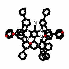 N#Cc1c(-n2c3ccc(-c4ccccc4)cc3c3cc(-c4ccccc4)ccc32)c(-n2c3ccc(-c4ccccc4)cc3c3cc(-c4ccccc4)ccc32)c(-c2cccc(-n3c4ccccc4c4cccnc43)c2)c(-n2c3ccc(-c4ccccc4)cc3c3cc(-c4ccccc4)ccc32)c1-n1c2ccc(-c3ccccc3)cc2c2cc(-c3ccccc3)ccc21